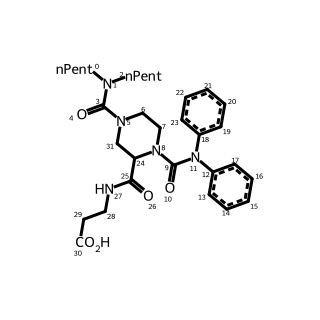 CCCCCN(CCCCC)C(=O)N1CCN(C(=O)N(c2ccccc2)c2ccccc2)C(C(=O)NCCC(=O)O)C1